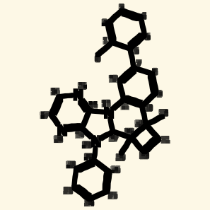 Cc1ccccc1-c1ccc2c(c1)N1c3nccnc3N(c3ccccc3)C1C1(C)C=CC21C